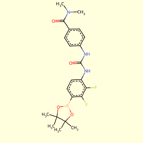 CN(C)C(=O)c1ccc(NC(=O)Nc2ccc(B3OC(C)(C)C(C)(C)O3)c(F)c2F)cc1